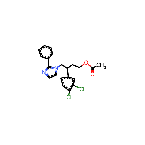 CC(=O)OCCC(Cn1ccnc1-c1ccccc1)c1ccc(Cl)c(Cl)c1